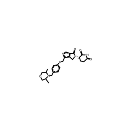 CC1COCC(C)N1Cc1ccc(OCc2scc3c2CN([C@H]2CCC(=O)NC2=O)C3=O)cc1